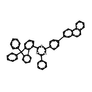 c1ccc(-c2nc(-c3ccc(-c4ccc5c(ccc6ccccc65)c4)cc3)nc(-c3cccc4c3-c3ccccc3C4(c3ccccc3)c3ccccc3)n2)cc1